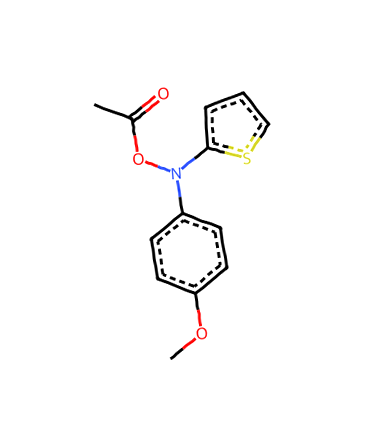 COc1ccc(N(OC(C)=O)c2cccs2)cc1